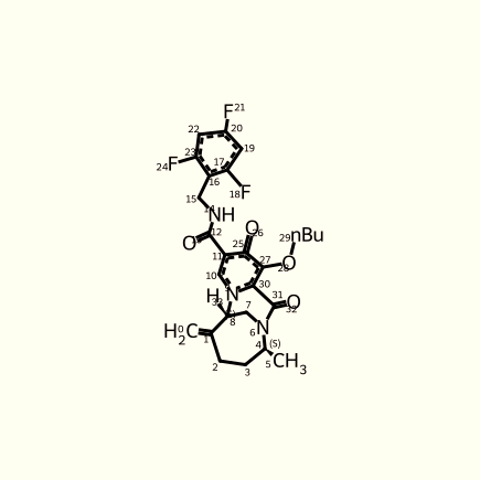 C=C1CC[C@H](C)N2C[C@H]1n1cc(C(=O)NCc3c(F)cc(F)cc3F)c(=O)c(OCCCC)c1C2=O